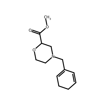 COC(=O)C1CN(CC2=CCCC=C2)CCO1